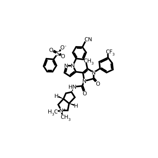 Cc1c(-c2ccnn2-c2ccc(C#N)cc2)n(C(=O)N[C@@H]2C[C@@H]3C[N+](C)(C)C[C@@H]3C2)c(=O)n1-c1cccc(C(F)(F)F)c1.O=S(=O)([O-])c1ccccc1